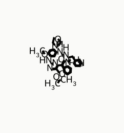 COc1cc(N2CCOCC2)c(NC(=O)NCCc2cccnc2)cc1Nc1ncc(C(=O)OC(C)C)c(-c2cn(C)c3ccccc23)n1